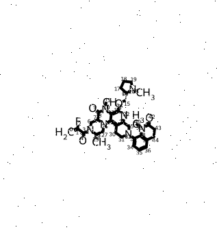 C=C(F)C(=O)N1CC2C(=O)N(C)c3c(OC[C@@H]4CCCN4C)nc4c(c3N2C[C@H]1C)CCN(c1cccc2c1N(C)C(=O)CC2)C4